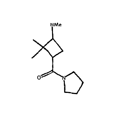 CNC1CC(C(=O)N2CCCC2)C1(C)C